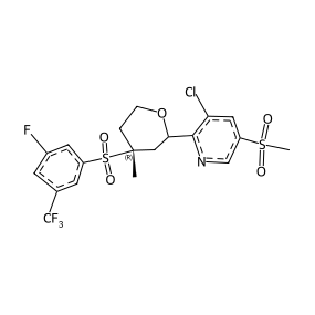 C[C@@]1(S(=O)(=O)c2cc(F)cc(C(F)(F)F)c2)CCOC(c2ncc(S(C)(=O)=O)cc2Cl)C1